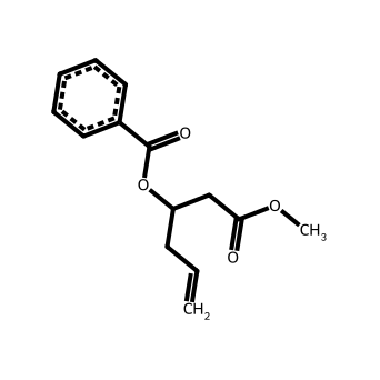 C=CCC(CC(=O)OC)OC(=O)c1ccccc1